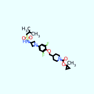 CC(C)CS(=O)(=O)NC1CN(c2cc(F)c(OCC3CCN(C(=O)OC4(C)CC4)CC3)c(F)c2)C1